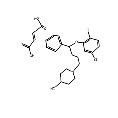 O=C(O)C=CC(=O)O.OC1CCN(CCCC(Oc2cc(Cl)ccc2Cl)c2ccccc2)CC1